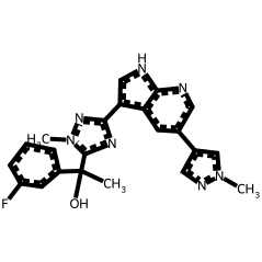 Cn1cc(-c2cnc3[nH]cc(-c4nc(C(C)(O)c5cccc(F)c5)n(C)n4)c3c2)cn1